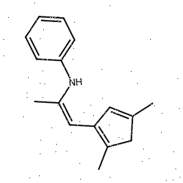 CC1=CC(/C=C(/C)Nc2ccccc2)=C(C)C1